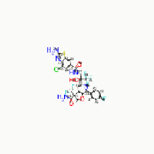 NC(=O)[C@@]1(C(F)F)COc2c1cc(C(O)(CNC(=O)c1cc(Cl)c3nc(N)sc3c1)C(F)(F)F)nc2-c1ccc(F)cc1